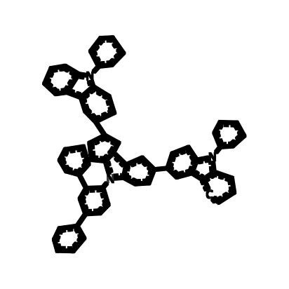 c1ccc(-c2ccc(-n3c4ccc(-c5ccc6c(c5)c5ccccc5n6-c5ccccc5)cc4c4cc(-c5ccc6c(c5)c5ccccc5n6-c5ccccc5)ccc43)c(-c3ccccc3)c2)cc1